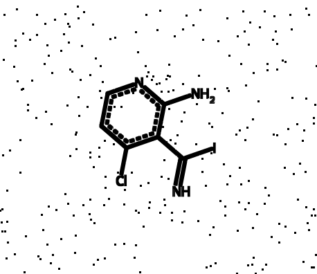 N=C(I)c1c(Cl)ccnc1N